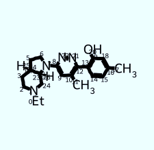 CCN1CC[C@@H]2CCN(c3cc(C)c(-c4ccc(C)cc4O)nn3)[C@@H]2C1